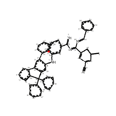 CC1C=C(C#N)C=C(C(=N/C(=N)c2cccc(Nc3cc4c(cc3-c3ccccc3)-c3ccccc3C4(c3ccccc3)c3ccccc3)c2)/N=C/c2ccccc2)C1